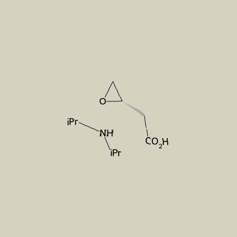 CC(C)NC(C)C.O=C(O)C[C@H]1CO1